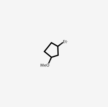 C[CH]C1CCC(OC)C1